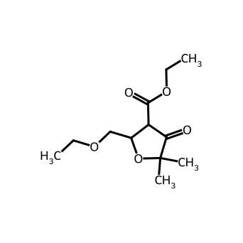 CCOCC1OC(C)(C)C(=O)C1C(=O)OCC